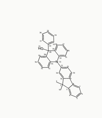 CC1(C)c2ccccc2-c2ccc(N3c4ccccc4C(O)(c4ccccc4)c4ccccc43)cc21